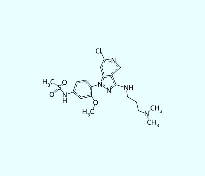 COc1cc(NS(C)(=O)=O)ccc1-n1nc(NCCCN(C)C)c2cnc(Cl)cc21